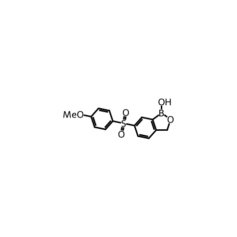 COc1ccc(S(=O)(=O)c2ccc3c(c2)B(O)OC3)cc1